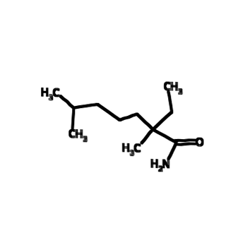 CCC(C)(CCCC(C)C)C(N)=O